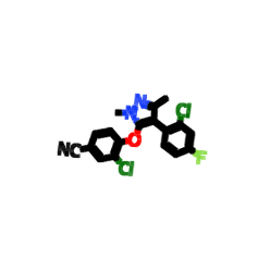 Cc1nn(C)c(Oc2ccc(C#N)cc2Cl)c1-c1ccc(F)cc1Cl